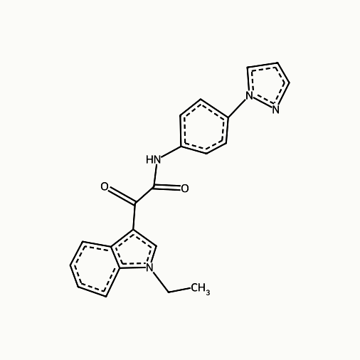 CCn1cc(C(=O)C(=O)Nc2ccc(-n3cccn3)cc2)c2ccccc21